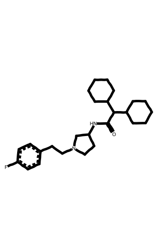 O=C(NC1CCN(CCc2ccc(F)cc2)C1)C(C1CCCCC1)C1CCCCC1